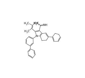 CC(=N)c1c2c(n(-c3cccc(-c4ccccc4)c3)c1C(C)=C(C)C)CCC(C1=CC=CCC1)=C2